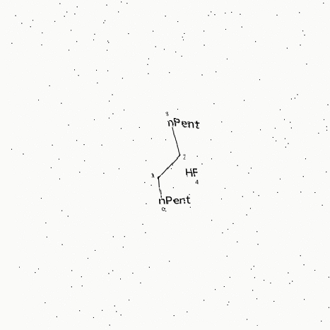 CCCCCCCCCCCC.F